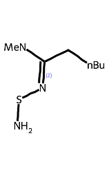 CCCCC/C(=N/SN)NC